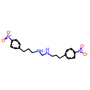 O=[N+]([O-])c1ccc(CCCNCNCCCc2ccc([N+](=O)[O-])cc2)cc1